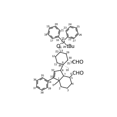 CC12CCCC(C=O)C1C([C@@]1(C)CC[C@H](O[Si](c3ccccc3)(c3ccccc3)C(C)(C)C)C[C@@H]1C=O)C=C2c1ccccc1